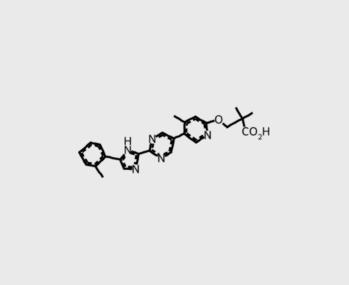 Cc1cc(OCC(C)(C)C(=O)O)ncc1-c1cnc(-c2ncc(-c3ccccc3C)[nH]2)nc1